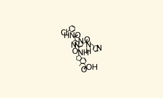 Cc1c(C(=O)O)ccc2c1CC[C@@H]2NC(=O)c1cc(C(=O)NCc2cccnc2)nc2c(C(=O)Nc3ccccc3Cl)cnn12